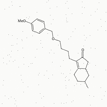 COc1ccc(COCCCCC2=C3CCC(C)CC3CC2=O)cc1